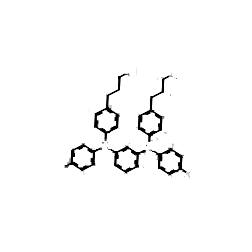 CCCCc1ccc(N(c2ccc(C)cc2)c2cccc(N(c3ccc(C)cc3)c3ccc(CCCC)cc3)c2)cc1